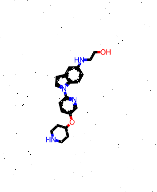 OCCNc1ccc2c(ccn2-c2ccc(OC3CCNCC3)cn2)c1